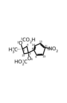 C[C@]1(OC(=O)O)C[C@](OC(=O)O)(c2ccc([N+](=O)[O-])cc2)C1